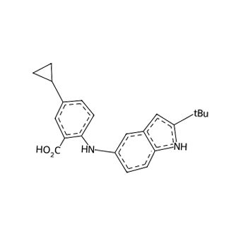 CC(C)(C)c1cc2cc(Nc3ccc(C4CC4)cc3C(=O)O)ccc2[nH]1